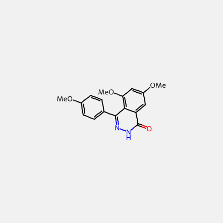 COc1ccc(-c2n[nH]c(=O)c3cc(OC)cc(OC)c23)cc1